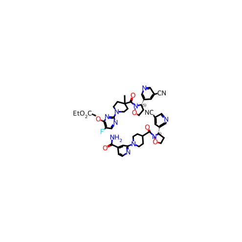 CCOC(=O)COc1nc(N2CCC(C)(C(=O)N3OCC[C@H]3c3cncc(C#N)c3)CC2)ncc1F.N#Cc1cncc([C@@H]2CCON2C(=O)C2CCN(c3cc(C(N)=O)ccn3)CC2)c1